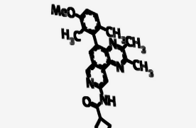 COc1ccc(C)c(-c2cc3cnc(NC(=O)C4CCC4)cc3c3nc(C)c(C)nc23)c1C